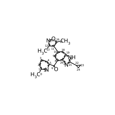 Cc1cccc(C(=O)c2cc(-c3c(C)noc3C)cc3[nH]c(C4CC4)nc23)n1